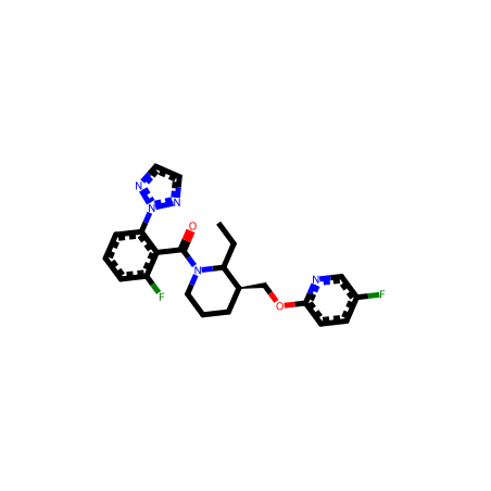 CCC1[C@@H](COc2ccc(F)cn2)CCCN1C(=O)c1c(F)cccc1-n1nccn1